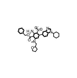 CN(CC1CCCO1)c1cc(-c2ccc3c(c2)ncn3C2CCCCC2)c([N+](=O)[O-])c(N)c1C(=O)OCc1ccccc1